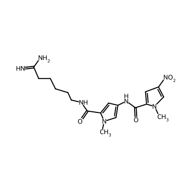 Cn1cc(NC(=O)c2cc([N+](=O)[O-])cn2C)cc1C(=O)NCCCCCC(=N)N